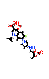 Cc1oc(=O)oc1CNC1CCN(c2c(F)cc3c(=O)c(C(=O)O)cn(C4CC4)c3c2C)C1